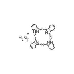 F[SiH2]F.c1ccc2c(c1)-c1nc-2nc2[nH]c(nc3nc(nc4[nH]c(n1)c1ccccc41)-c1ccccc1-3)c1ccccc21